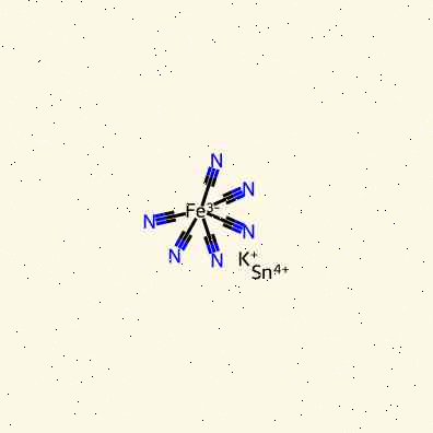 N#[C][Fe-3]([C]#N)([C]#N)([C]#N)([C]#N)[C]#N.[K+].[Sn+4]